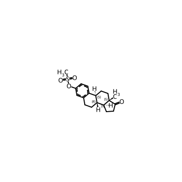 C[C@]12CC[C@@H]3c4ccc(OS(C)(=O)=O)cc4CC[C@H]3[C@@H]1CCC2=O